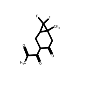 CC(=O)C(=O)C1CC2C(F)(F)C2(C)CC1=O